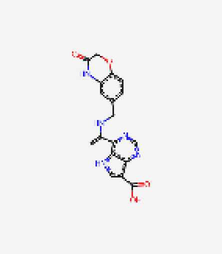 C=C(NCc1ccc2c(c1)NC(=O)CO2)c1ncnc2c(C(=O)O)c[nH]c12